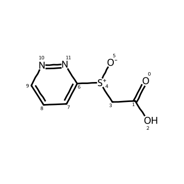 O=C(O)C[S+]([O-])c1cccnn1